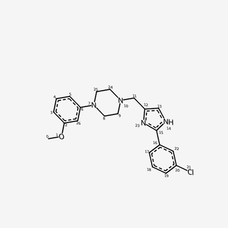 COc1cccc(N2CCN(Cc3c[nH]c(-c4cccc(Cl)c4)n3)CC2)c1